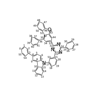 c1ccc(-c2ccc3c(c2)c2ccccc2n3-c2cccc(-c3nc(-c4ccccc4)nc(-c4cc(-c5ccccc5)c5c(c4)oc4ccccc45)n3)c2)cc1